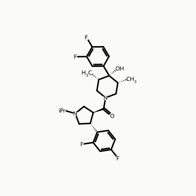 CC(C)N1C[C@@H](C(=O)N2C[C@@H](C)[C@](O)(c3ccc(F)c(F)c3)[C@@H](C)C2)[C@H](c2ccc(F)cc2F)C1